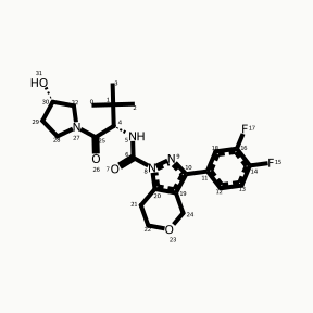 CC(C)(C)[C@H](NC(=O)n1nc(-c2ccc(F)c(F)c2)c2c1CCOC2)C(=O)N1CC[C@H](O)C1